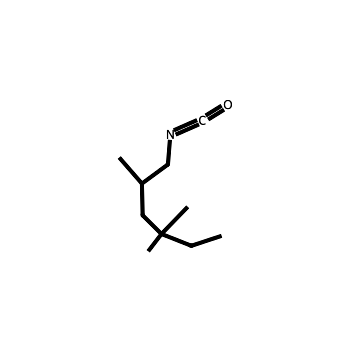 CCC(C)(C)CC(C)CN=C=O